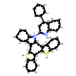 c1ccc(-c2cc(-n3c4ccccc4c4c5sc6ccccc6c5c5sc6ccccc6c5c43)nc3ccccc23)cc1